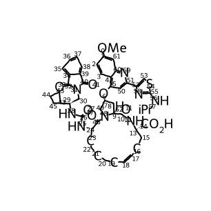 COc1ccc2c(O[C@@H]3C[C@H]4C(=O)N[C@H](C(=O)O)CC/C=C\CCCCC[C@H](NC(=O)N[C@H](CN5C(=O)c6ccccc6C5=O)C5CCC5)C(=O)N4C3)cc(-c3csc(NC(C)C)n3)nc2c1